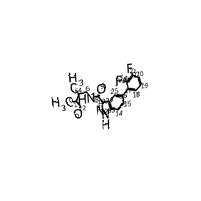 CC(C=O)C(C)CNC(=O)c1n[nH]c2ccc(-c3cccc(F)c3F)cc12